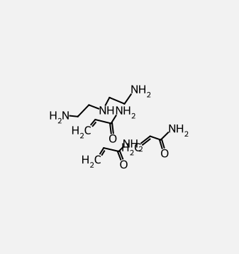 C=CC(N)=O.C=CC(N)=O.C=CC(N)=O.NCCNCCN